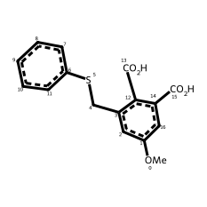 COc1cc(CSc2ccccc2)c(C(=O)O)c(C(=O)O)c1